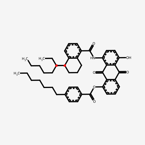 CCCCCCCc1ccc(C(=O)Oc2cccc3c2C(=O)c2c(NC(=O)c4cccc(CCCCCCC)c4CCCCCCC)ccc(O)c2C3=O)cc1